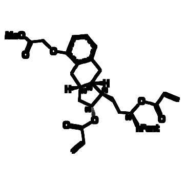 C=CC(=O)O[C@@H](CCCCC)CC[C@@H]1[C@H]2Cc3cccc(OCC(=O)OC)c3C[C@H]2C[C@H]1OC(=O)C=C